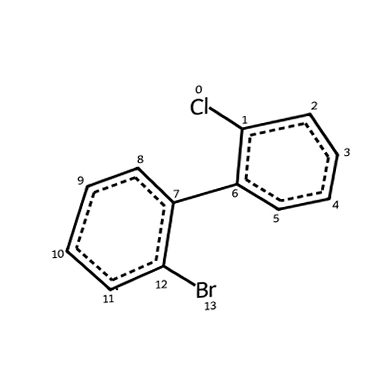 Clc1ccccc1-c1ccc[c]c1Br